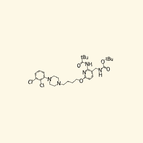 CC(C)(C)OC(=O)NCc1ccc(OCCCCN2CCN(c3cccc(Cl)c3Cl)CC2)nc1NC(=O)C(C)(C)C